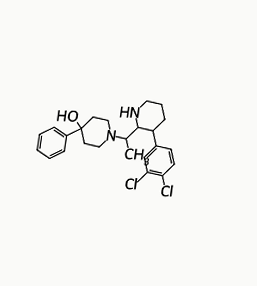 CC(C1NCCCC1c1ccc(Cl)c(Cl)c1)N1CCC(O)(c2ccccc2)CC1